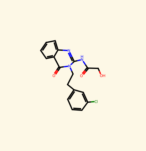 O=C(CO)Nc1nc2ccccc2c(=O)n1CCc1cccc(Cl)c1